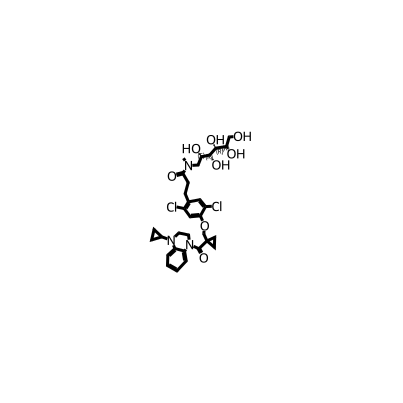 CN(C[C@H](O)[C@@H](O)[C@H](O)[C@H](O)CO)C(=O)CCc1cc(Cl)c(OCC2(C(=O)N3CCN(C4CC4)c4ccccc43)CC2)cc1Cl